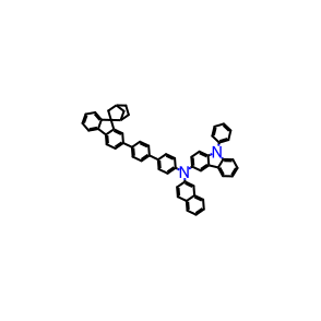 c1ccc(-n2c3ccccc3c3cc(N(c4ccc(-c5ccc(-c6ccc7c(c6)C6(CC8CCC6C8)c6ccccc6-7)cc5)cc4)c4ccc5ccccc5c4)ccc32)cc1